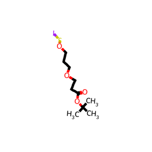 CC(C)(C)OC(=O)CCOCCCOSI